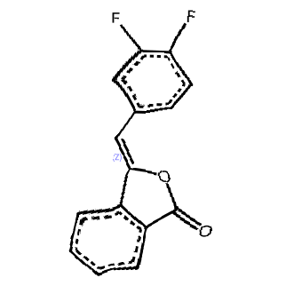 O=C1O/C(=C\c2ccc(F)c(F)c2)c2ccccc21